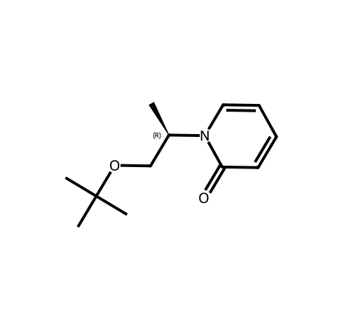 C[C@H](COC(C)(C)C)n1ccccc1=O